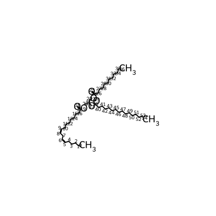 CCCCC/C=C\C/C=C\CCCCCCCC(=O)OC[C@@H](COC(=O)CCCCCCCCCCC)OC(=O)CCCCCCCCCCCCCCC